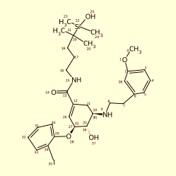 COc1cccc(CCN[C@@H]2CC(C(=O)NCCCC(C)(C)[Si](C)(C)O)=C[C@H](Oc3ccccc3I)[C@H]2O)c1